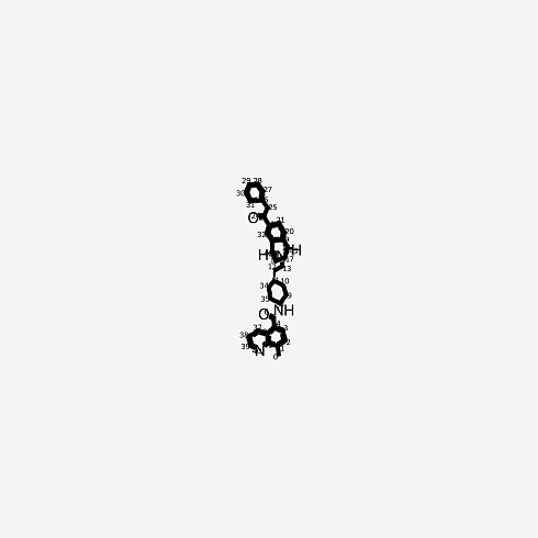 Cc1ccc(C(=O)N[C@H]2CC[C@H](CCN3[C@@H]4CC[C@H]3c3ccc(C(=O)Cc5ccccc5)cc34)CC2)c2cccnc12